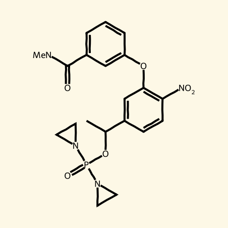 CNC(=O)c1cccc(Oc2cc(C(C)OP(=O)(N3CC3)N3CC3)ccc2[N+](=O)[O-])c1